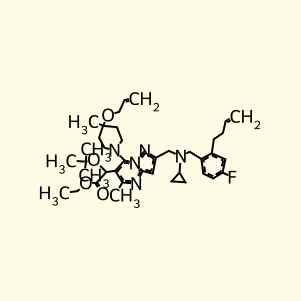 C=CCCc1cc(F)ccc1CN(Cc1cc2nc(C)c(C(OC(C)(C)C)C(=O)OCC)c(N3CCC(C)(OCC=C)CC3)n2n1)C1CC1